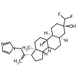 C=C(Cn1ccnc1)[C@H]1CC[C@H]2[C@@H]3CC[C@@H]4C[C@@](O)(C(F)F)CC[C@@H]4[C@H]3CC[C@]12C